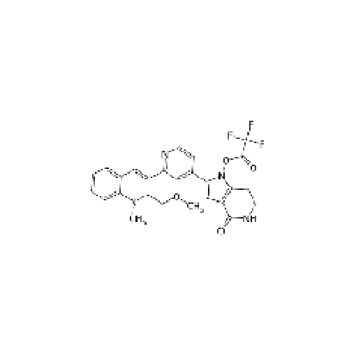 COCCN(C)c1ccccc1C=Cc1cc(-c2cc3c(n2OC(=O)C(F)(F)F)CCNC3=O)ccn1